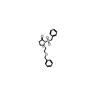 O=C1CC[C@H](CCOCc2ccccc2)N1S(=O)(=O)Cc1ccccc1